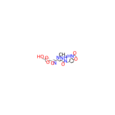 Cc1nc(C(=O)NCc2ccc3c(c2)NC(=O)CO3)cc(C2=NO[C@H]([C@H]3CO[C@H](CO)CO3)C2)n1